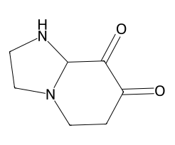 O=C1CCN2CCNC2C1=O